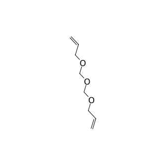 C=CCOCOCOCC=C